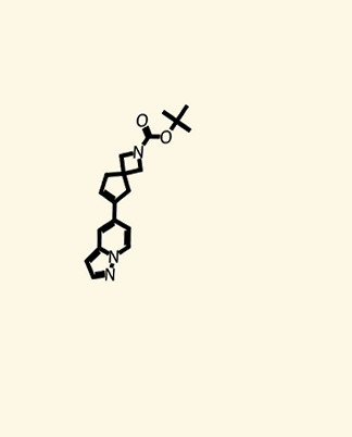 CC(C)(C)OC(=O)N1CC2(CC=C(c3ccn4nccc4c3)C2)C1